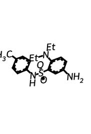 CCN(CC)c1ccc(N)cc1S(=O)(=O)Nc1ccc(C)cc1